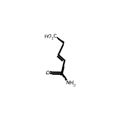 NC(=O)C=CCC(=O)O